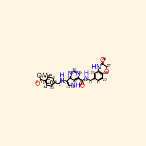 COC(=O)C12CCC(CNc3c[nH]c4c(C(=O)NCc5ccc6c(c5)NC(=O)CO6)ncnc34)(CC1)CC2